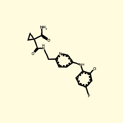 NC(=O)C1(C(=O)NCc2ccc(Nc3ccc(F)cc3Cl)cn2)CC1